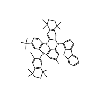 Cc1cc2c3c(c1)N(c1cccc4c1sc1ccccc14)c1cc4c(cc1B3c1ccc(C(C)(C)C)cc1N2c1cc2c(cc1C)C(C)(C)CCC2(C)C)C(C)(C)CCC4(C)C